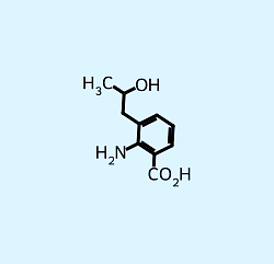 CC(O)Cc1cccc(C(=O)O)c1N